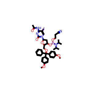 COc1ccc(C(OCC2OC(n3cc(I)c(NC(C)=O)nc3=O)CC2OP(OCCC#N)N(C(C)C)C(C)C)(c2ccccc2)c2ccc(OC)cc2)cc1